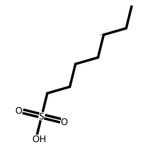 CC[CH]CCCCS(=O)(=O)O